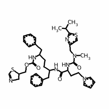 CC(C)c1nc(CN(C)C(=O)NC(CCn2cccc2)C(=O)NC(CCC(Cc2ccccc2)NC(=O)OCC2CN=CS2)Cc2ccccc2)cs1